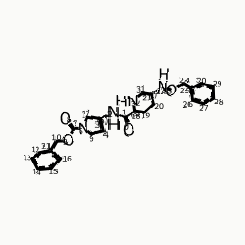 O=C(N[C@H]1CCN(C(=O)OCc2ccccc2)C1)[C@@H]1CC[C@@H](NOCc2ccccc2)CN1